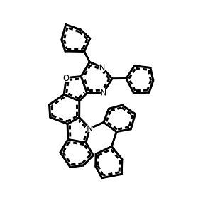 c1ccc(-c2nc(-c3ccccc3)c3oc4ccc5c6ccccc6n(-c6ccccc6-c6ccccc6)c5c4c3n2)cc1